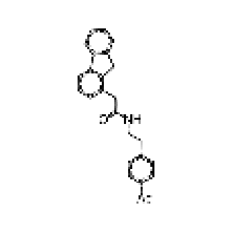 CC(=O)c1ccc(CCNC(=O)Cc2cccc3c2Cc2ccccc2-3)cc1